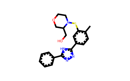 Cc1ccc(-c2nnc(-c3ccccc3)[nH]2)cc1SN1CCOCC1CO